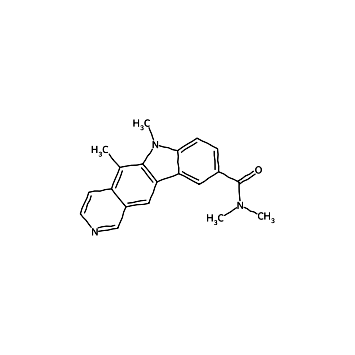 Cc1c2ccncc2cc2c3cc(C(=O)N(C)C)ccc3n(C)c12